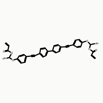 C=CC(=O)OC(CCC)Oc1ccc(C#Cc2ccc(-c3ccc(C#Cc4ccc(OC(CCC)OC(=O)C=C)cc4)cc3)cc2)cc1